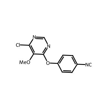 [C-]#[N+]c1ccc(Oc2ncnc(Cl)c2OC)cc1